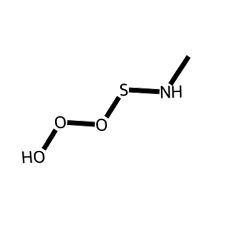 CNSOOO